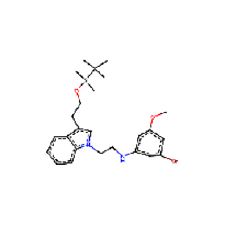 COc1cc(Br)cc(NCCn2cc(CCO[Si](C)(C)C(C)(C)C)c3ccccc32)c1